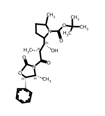 CC1CCC([C@H](O)[C@@H](C)C(=O)N2C(=O)O[C@@H](c3ccccc3)[C@H]2C)N1C(=O)OC(C)(C)C